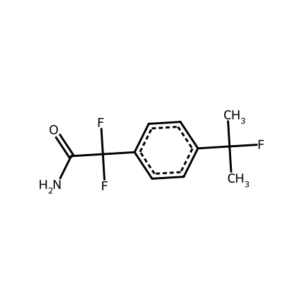 CC(C)(F)c1ccc(C(F)(F)C(N)=O)cc1